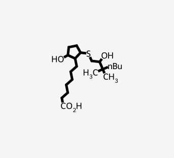 CCCCC(C)(C)C(O)CSC1CCC(O)C1CCCCCCC(=O)O